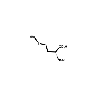 CN[C@H](CSSC(C)(C)C)C(=O)O